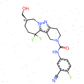 N#Cc1cc(NC(=O)N2CCc3nn4c(c3C2)C(F)(F)CC[C@@H](CO)C4)ccc1F